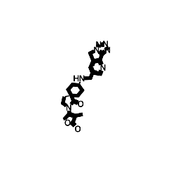 CC1=C(N2CC[C@]3(CC[C@@H](NCc4cnc5c(c4)Cn4nnnc4-5)CC3)C2=O)COC1=O